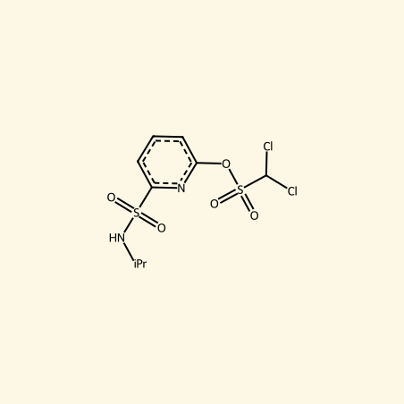 CC(C)NS(=O)(=O)c1cccc(OS(=O)(=O)C(Cl)Cl)n1